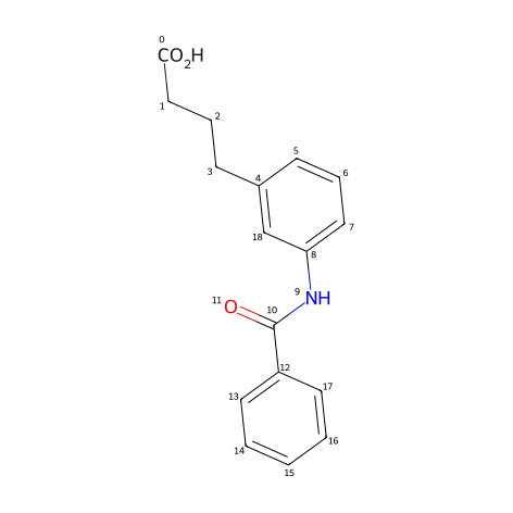 O=C(O)CCCc1cccc(NC(=O)c2ccccc2)c1